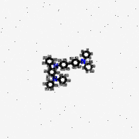 C1=CC(N(c2ccccc2)c2ccc(-c3ccc(-n4c5ccccc5c5ccc(N(c6ccccc6)c6ccccc6)cc54)cc3)cc2)=CCC1